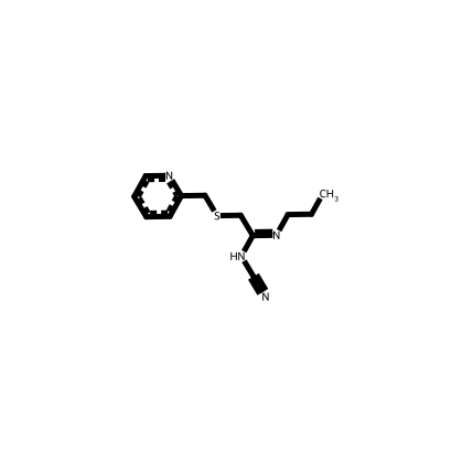 CCC/N=C(\CSCc1ccccn1)NC#N